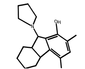 Cc1cc(C)c2c(c1O)C(N1CCCC1)C1CCCCC21